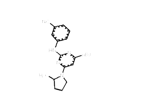 CCCCc1cc(N2CCCC2C)nc(Nc2cccc(C#N)c2)n1